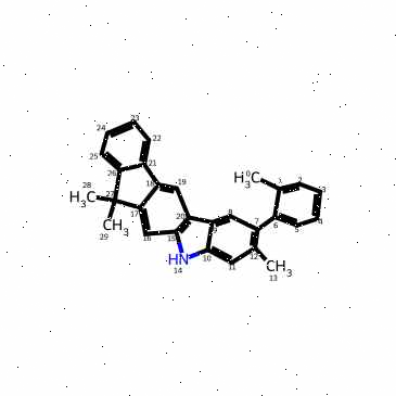 Cc1ccccc1-c1cc2c(cc1C)[nH]c1cc3c(cc12)-c1ccccc1C3(C)C